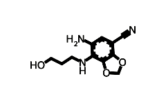 N#Cc1cc(N)c(NCCCO)c2c1OCO2